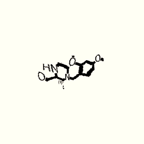 COc1ccc(CN2CCNC(C=O)[C@H]2C)c(OC)c1